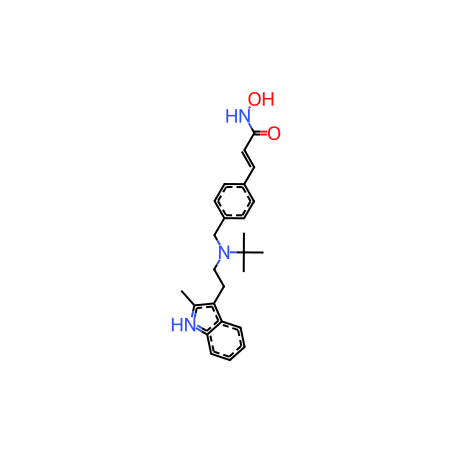 Cc1[nH]c2ccccc2c1CCN(Cc1ccc(/C=C/C(=O)NO)cc1)C(C)(C)C